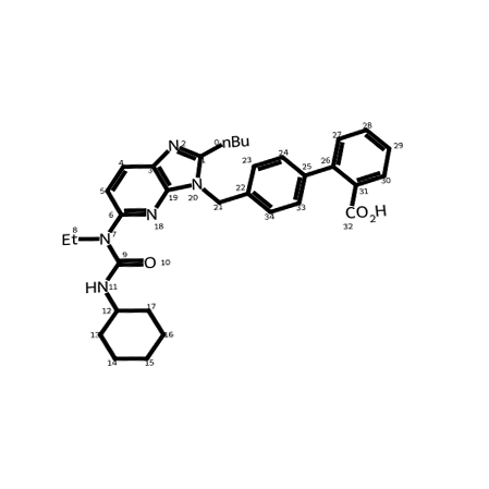 CCCCc1nc2ccc(N(CC)C(=O)NC3CCCCC3)nc2n1Cc1ccc(-c2ccccc2C(=O)O)cc1